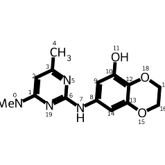 CNc1cc(C)nc(Nc2cc(O)c3c(c2)OCCO3)n1